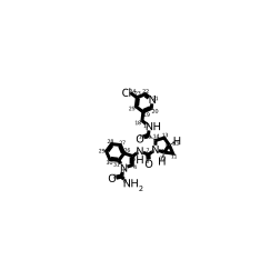 NC(=O)n1cc(NC(=O)N2[C@@H]3C[C@@H]3C[C@H]2C(=O)NCc2cncc(Cl)c2)c2ccccc21